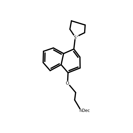 CCCCCCCCCCCCOc1ccc([S+]2CCCC2)c2ccccc12